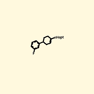 CCCCCCCC1=CCC(c2cccc(F)c2)CC1